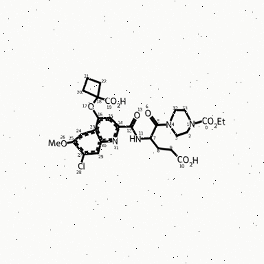 CCOC(=O)N1CCN(C(=O)C(CCC(=O)O)NC(=O)c2cc(OC3(C(=O)O)CCC3)c3cc(OC)c(Cl)cc3n2)CC1